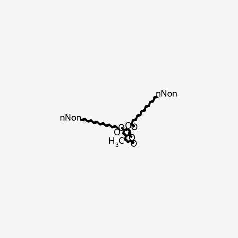 CCCCCCCCCC=CC=CC=CC=CC=CC=CC(=O)Oc1cc2oc(=O)cc(C)c2cc1OC(=O)C=CC=CC=CC=CC=CC=CCCCCCCCCC